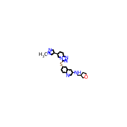 Cn1cc(-c2ccc3nnc(Sc4ccc5ncc(NCC6CCOC6)cc5c4)n3c2)cn1